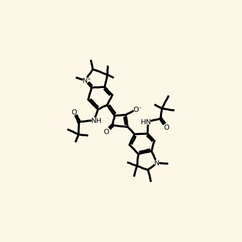 CC1N(C)c2cc(NC(=O)C(C)(C)C)c(C3=C([O-])/C(=c4\cc5c(cc4NC(=O)C(C)(C)C)=[N+](C)C(C)C5(C)C)C3=O)cc2C1(C)C